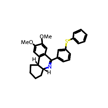 COc1cc2c(cc1OC)[C@H]1CCCC[C@H]1N=C2c1cccc(Sc2ccccc2)c1